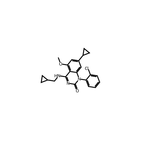 COc1cc(C2CC2)cc2c1c(NCC1CC1)nc(=O)n2-c1ccccc1Cl